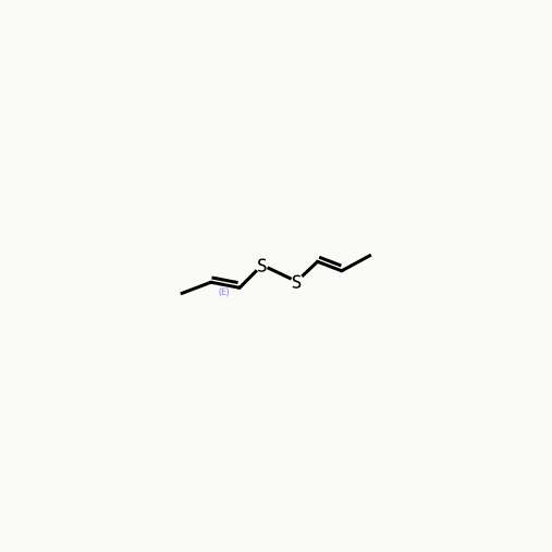 CC=CSS/C=C/C